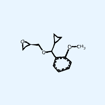 COc1ccccc1C(OC[C@H]1CO1)C1CC1